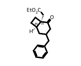 CCOC(=O)C[C@@]12CC[C@@H]1CC(Cc1ccccc1)CC2=O